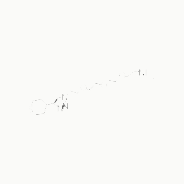 NCCOCCOCCOCCn1cc(C2CCSCC2)nn1